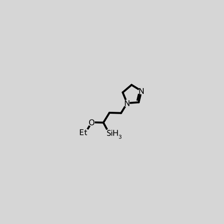 CCOC([SiH3])CCN1C=NCC1